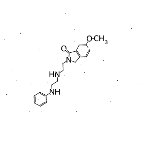 COc1ccc2c(c1)C(=O)N(CCNCCNc1ccccc1)C2